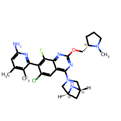 Cc1cc(N)nc(-c2c(Cl)cc3c(N4C[C@@H]5C[C@@H](C4)N5)nc(OC[C@@H]4CCCN4C)nc3c2F)c1C(F)(F)F